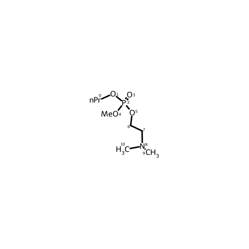 CCCOP(=O)(OC)OCCN(C)C